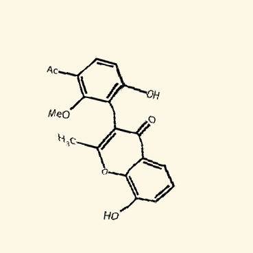 COc1c(C(C)=O)ccc(O)c1-c1c(C)oc2c(O)cccc2c1=O